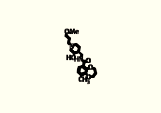 COCCCN1CC[C@@H](CNC(=O)c2ccc(C)c3c2OCCCO3)[C@H](O)C1